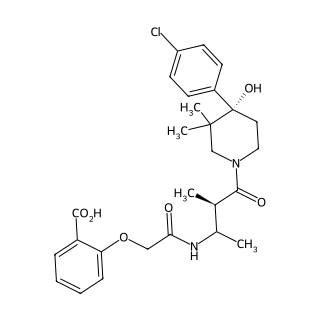 CC(NC(=O)COc1ccccc1C(=O)O)[C@@H](C)C(=O)N1CC[C@](O)(c2ccc(Cl)cc2)C(C)(C)C1